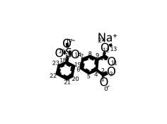 COC(=O)c1ccccc1C(=O)OC.O=S(=O)([O-])c1ccccc1.[Na+]